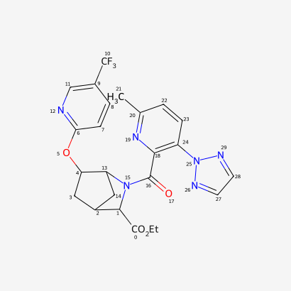 CCOC(=O)C1C2CC(Oc3ccc(C(F)(F)F)cn3)C(C2)N1C(=O)c1nc(C)ccc1-n1nccn1